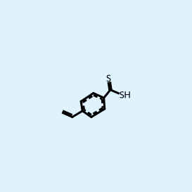 C=Cc1ccc(C(=S)S)cc1